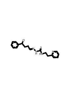 S=C(NCCc1ccccn1)NN=CCCC(Cl)c1ccccc1